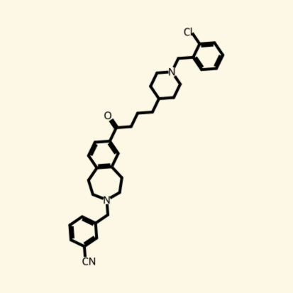 N#Cc1cccc(CN2CCc3ccc(C(=O)CCCC4CCN(Cc5ccccc5Cl)CC4)cc3CC2)c1